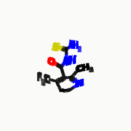 Cc1nccc(C(F)(F)F)c1C(=O)NC(N)=S